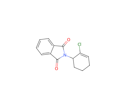 O=C1c2ccccc2C(=O)N1C1CCCC=C1Cl